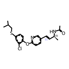 CC(=O)N[C@@H](C)/C=C/c1ccc(Oc2ccc(SCC(C)C)cc2Cl)nc1